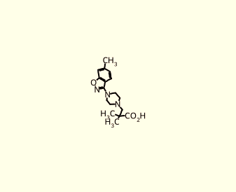 Cc1ccc2c(N3CCN(CC(C)(C)C(=O)O)CC3)noc2c1